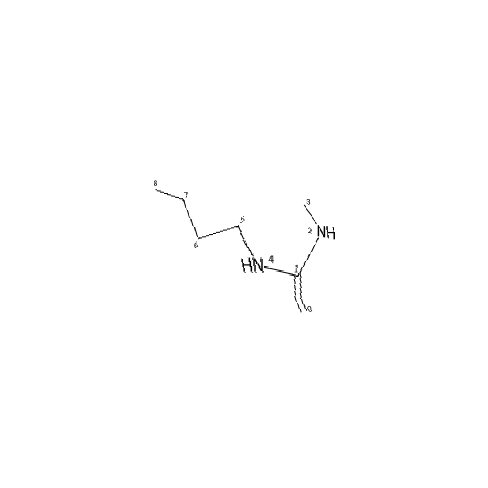 C=C(NC)NCCCC